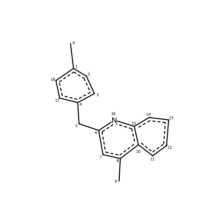 Cc1ccc(Cc2cc(C)c3ccccc3n2)cc1